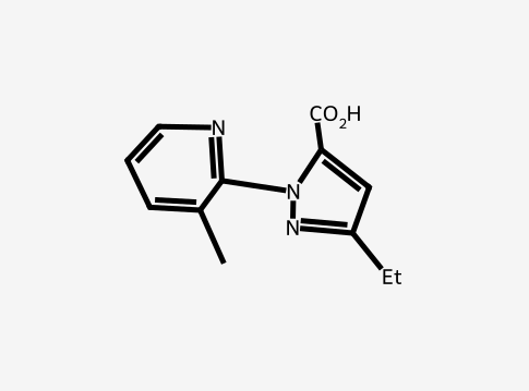 CCc1cc(C(=O)O)n(-c2ncccc2C)n1